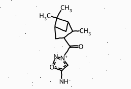 CC1C(C(=O)[n+]2cc([NH-])on2)CC2CC1C2(C)C